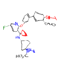 O=Cc1cc(-c2cccc(Oc3ncc(F)cc3C(=O)N[C@H]3CC[C@H](NC(=O)O)CC3)c2)ccc1O